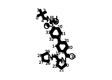 CC(C)(C)CNS(=O)(=O)c1ccc(-c2ccc(C(=O)N3CCCC3CN3CCCC3)cc2)cc1